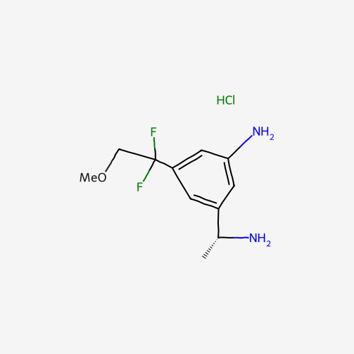 COCC(F)(F)c1cc(N)cc([C@@H](C)N)c1.Cl